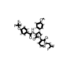 COc1ccc([C@@H]2CN(c3ccnn(CC(F)F)c3=O)C(=O)[C@H]2NC(=O)c2ccc(OC(F)(F)F)cc2)cc1